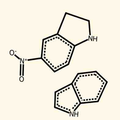 O=[N+]([O-])c1ccc2c(c1)CCN2.c1ccc2[nH]ccc2c1